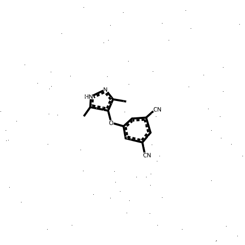 Cc1n[nH]c(C)c1Oc1cc(C#N)cc(C#N)c1